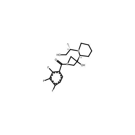 C[C@@H](CO)N1CCCC[C@H]1C1(O)CN(C(=O)c2ccc(F)c(F)c2F)C1